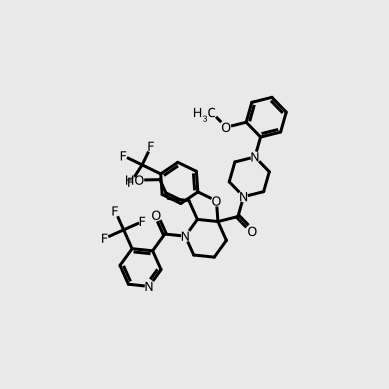 COc1ccccc1N1CCN(C(=O)C2(Oc3ccc(C(F)(F)F)cc3)CCCN(C(=O)c3cnccc3C(F)(F)F)C2CCCO)CC1